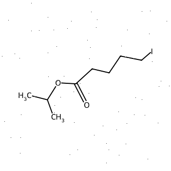 CC(C)OC(=O)CCCCI